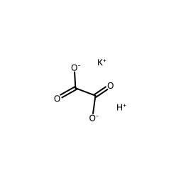 O=C([O-])C(=O)[O-].[H+].[K+]